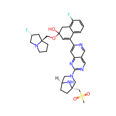 CS(=O)(=O)C[C@@]12CC[C@@H](CN(c3ncc4cnc(C5=CC(O)(OC[C@@]67CCCN6C[C@H](F)C7)Cc6c(F)cccc65)cc4n3)C1)N2